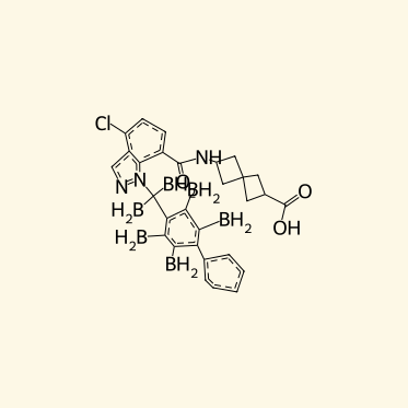 Bc1c(B)c(C(B)(B)n2ncc3c(Cl)ccc(C(=O)NC4CC5(C4)CC(C(=O)O)C5)c32)c(B)c(B)c1-c1ccccc1